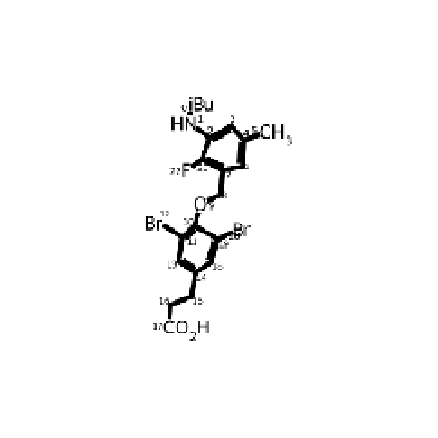 CCC(C)Nc1cc(C)cc(COc2c(Br)cc(CCC(=O)O)cc2Br)c1F